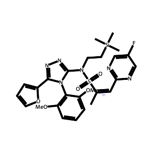 COc1cccc(OC)c1-n1c(-c2ccco2)nnc1N(CC[Si](C)(C)C)S(=O)(=O)/C(C)=C\c1ncc(F)cn1